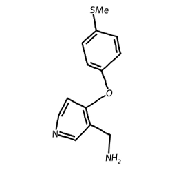 CSc1ccc(Oc2ccncc2CN)cc1